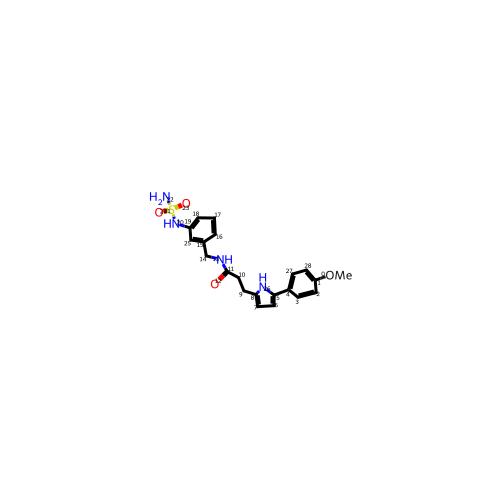 COc1ccc(-c2ccc(CCC(=O)NCc3cccc(NS(N)(=O)=O)c3)[nH]2)cc1